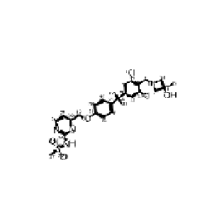 CC1(O)CN(Cc2c(Cl)cc(C(C)(C)c3ccc(OCc4ccnc(NS(C)(=O)=O)n4)cc3)cc2Cl)C1